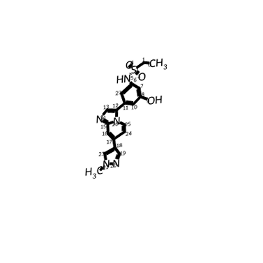 CCS(=O)(=O)Nc1cc(O)cc(-c2cnc3cc(-c4cnn(C)c4)ccn23)c1